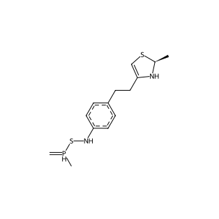 C=[PH](C)SNc1ccc(CCC2=CS[C@@H](C)N2)cc1